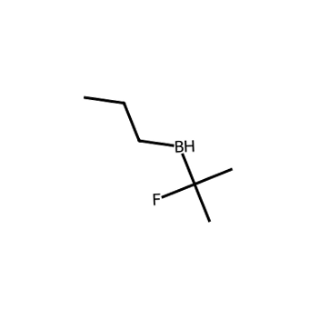 CCCBC(C)(C)F